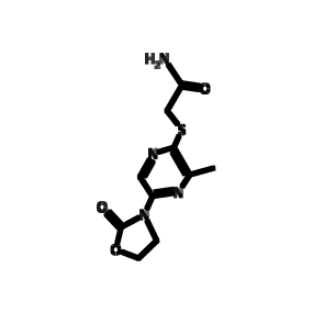 Cc1nc(N2CCOC2=O)cnc1SCC(N)=O